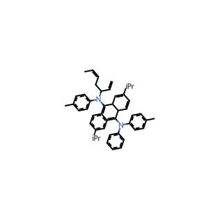 C=CC(C/C=C\C)N(C1=c2ccc(C(C)C)cc2=C(N(c2ccccc2)c2ccc(C)cc2)C2C=CC(C(C)C)=CC12)c1ccc(C)cc1